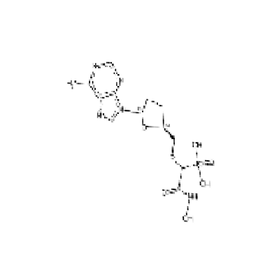 Nc1ncnc2c1ncn2[C@H]1CC[C@@H](COC(C(=O)NO)P(=O)(O)O)O1